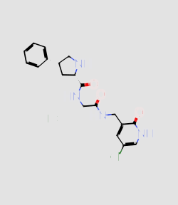 C[C@H](NC(=O)[C@H]1C[C@H](c2ccccc2)CN1)C(=O)NCc1cc(Cl)c[nH]c1=O.Cl